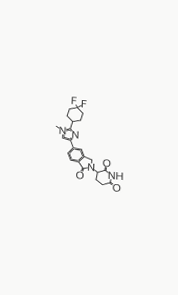 Cn1cc(-c2ccc3c(c2)CN(C2CCC(=O)NC2=O)C3=O)nc1C1CCC(F)(F)CC1